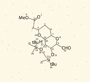 COC(=O)CC1CCC2OC(C=O)C(O[Si](C)(C)C(C)(C)C)C(O[Si](C)(C)C(C)(C)C)[C@H]2O1